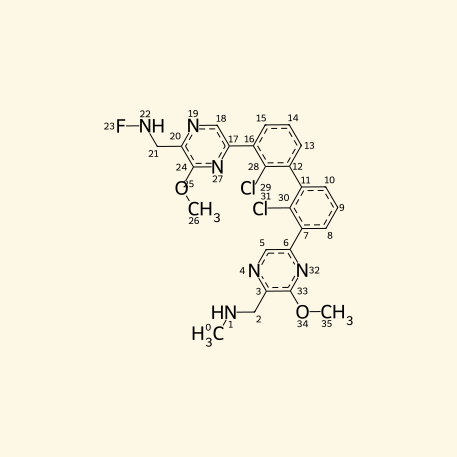 CNCc1ncc(-c2cccc(-c3cccc(-c4cnc(CNF)c(OC)n4)c3Cl)c2Cl)nc1OC